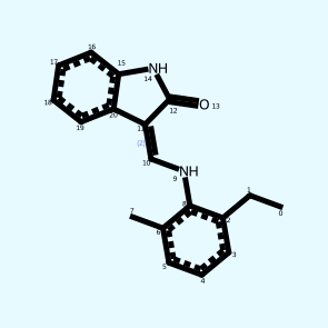 CCc1cccc(C)c1N/C=C1\C(=O)Nc2ccccc21